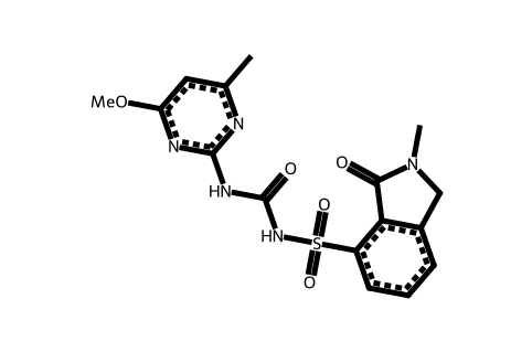 COc1cc(C)nc(NC(=O)NS(=O)(=O)c2cccc3c2C(=O)N(C)C3)n1